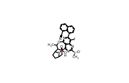 CC1Oc2nc(-c3cccc4cccc(C#N)c34)c(F)c3nc([S+](C)[O-])nc(c23)N2CC3CCC(C12)N3C(=O)O